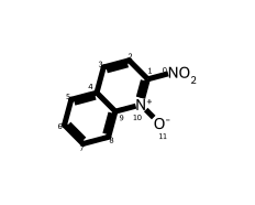 O=[N+]([O-])c1ccc2ccccc2[n+]1[O-]